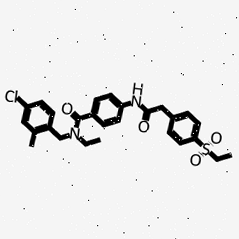 CCN(Cc1ccc(Cl)cc1C)C(=O)c1ccc(NC(=O)Cc2ccc(S(=O)(=O)CC)cc2)cc1